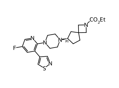 CCOC(=O)N1CC2(CC[C@@H](N3CCN(c4ncc(F)cc4-c4cnsc4)CC3)C2)C1